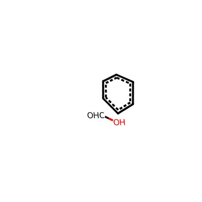 O=CO.c1ccccc1